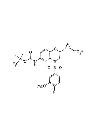 COc1cc(S(=O)(=O)N2C[C@H]([C@H]3C[C@H]3C(=O)O)Oc3ccc(NC(=O)OC(C)(C)C(F)(F)F)cc32)ccc1F